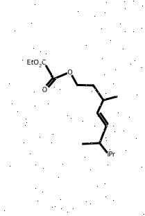 CCOC(=O)C(=O)OCCC(C)C=CC(C)C(C)C